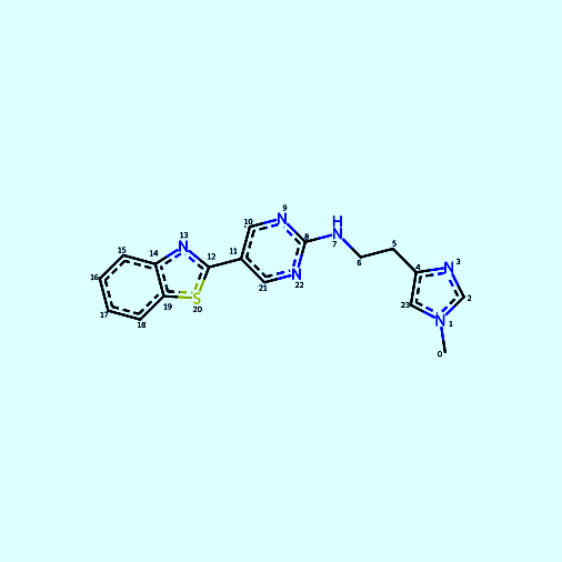 Cn1cnc(CCNc2n[c]c(-c3nc4ccccc4s3)cn2)c1